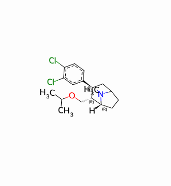 CC(C)OC[C@@H]1[C@@H](c2ccc(Cl)c(Cl)c2)CC2CC[C@H]1N2C